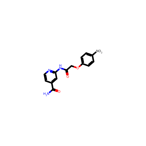 NC(=O)c1ccnc(NC(=O)COc2ccc([N+](=O)[O-])cc2)c1